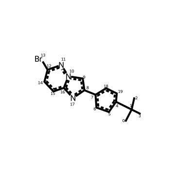 CC(C)(C)c1ccc(-c2cn3nc(Br)ccc3n2)cc1